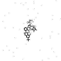 Cc1cc(Nc2nn(-c3cccc(-n4ncc5cc(C(C)(C)C)cc(F)c5c4=O)c3CO)cc2OC(N)=O)nn1C